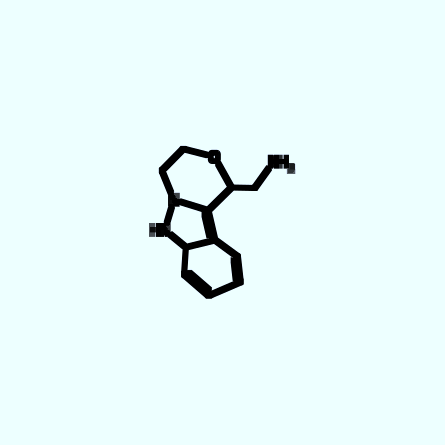 NCC1OCCN2NC3C=CC=CC3=C12